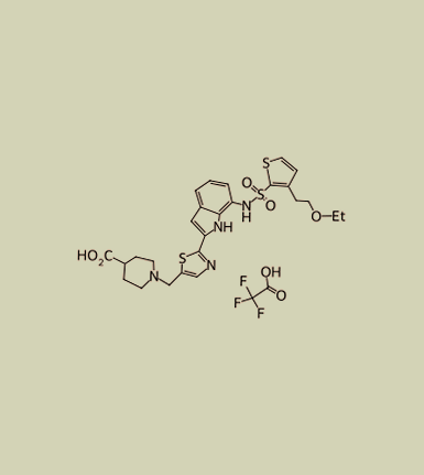 CCOCCc1ccsc1S(=O)(=O)Nc1cccc2cc(-c3ncc(CN4CCC(C(=O)O)CC4)s3)[nH]c12.O=C(O)C(F)(F)F